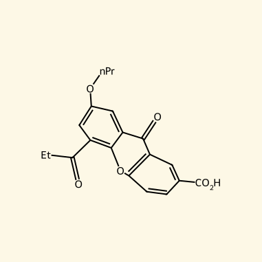 CCCOc1cc(C(=O)CC)c2oc3ccc(C(=O)O)cc3c(=O)c2c1